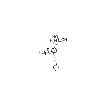 Cl.NC(CO)(CO)CCc1ccc(OCCCC2CCCCC2)c(C(F)(F)F)c1